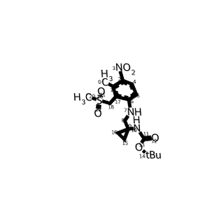 Cc1c([N+](=O)[O-])ccc(NCC2(NC(=O)OC(C)(C)C)CC2)c1CS(C)(=O)=O